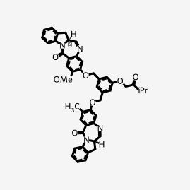 COc1cc2c(cc1OCc1cc(COc3cc4c(cc3C)C(=O)N3c5ccccc5C[C@H]3C=N4)cc(OCC(=O)C(C)C)c1)N=C[C@@H]1Cc3ccccc3N1C2=O